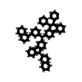 c1ccc(-c2c(-c3ccccc3)c3cc(N(c4cccc(-c5cccc6ccccc56)c4)c4ccc5c(c4)c4ccccc4n5-c4ccc5ccccc5c4)ccc3c3ccccc23)cc1